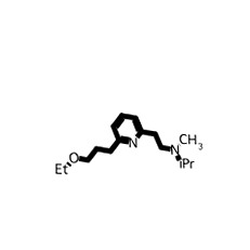 CCOCCCc1cccc(CCN(C)C(C)C)n1